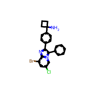 NC1(c2ccc(-c3nc4c(Br)cc(Cl)cn4c3-c3ccccc3)cc2)CCC1